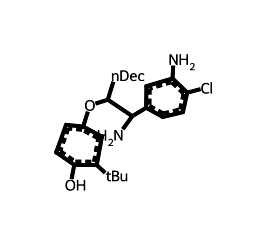 CCCCCCCCCCC(Oc1ccc(O)c(C(C)(C)C)c1)C(N)c1ccc(Cl)c(N)c1